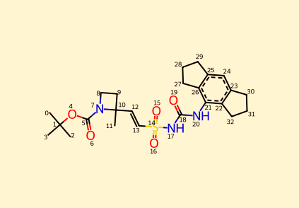 CC(C)(C)OC(=O)N1CCC1(C)C=CS(=O)(=O)NC(=O)Nc1c2c(cc3c1CCC3)CCC2